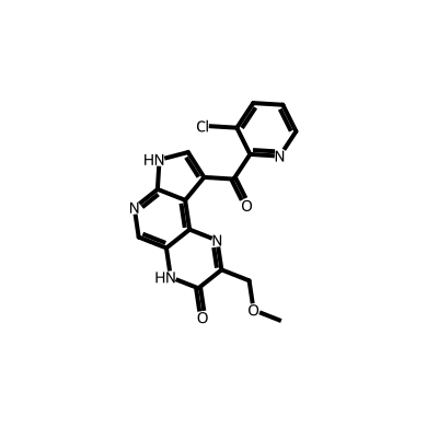 COCc1nc2c(cnc3[nH]cc(C(=O)c4ncccc4Cl)c32)[nH]c1=O